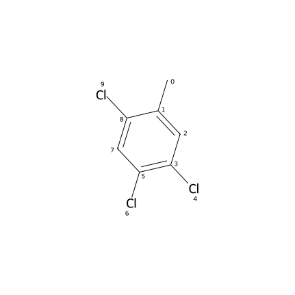 Cc1cc(Cl)c(Cl)cc1Cl